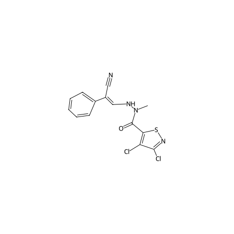 CN(NC=C(C#N)c1ccccc1)C(=O)c1snc(Cl)c1Cl